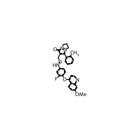 COc1ccc2c(Oc3ccc(NOCc4c(-c5ccccc5C)n5n(c4=O)CCC5)cc3F)ccnc2c1